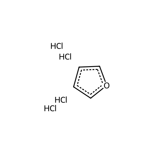 Cl.Cl.Cl.Cl.c1ccoc1